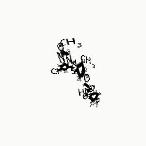 COc1cnc2c(-c3nc4c(C)cc(OCCNS(=O)(=O)c5ccc(F)cc5)cc4s3)cc(Cl)cc2n1